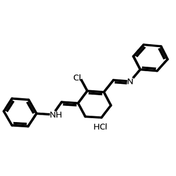 Cl.ClC1=C(/C=N/c2ccccc2)CCC/C1=C\Nc1ccccc1